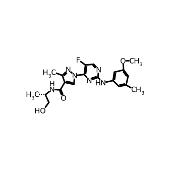 COc1cc(C)cc(Nc2ncc(F)c(-n3cc(C(=O)N[C@@H](C)CO)c(C)n3)n2)c1